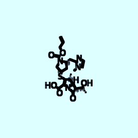 C=CCOC(=O)N1C[C@@H](SC2=C(C(=O)O)N3C(=O)[C@H]([C@@H](C)O)[C@H]3[C@H]2C)C[C@H]1Cc1nccn1C